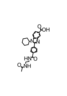 CC(=O)NCCNC(=O)c1ccc(-c2nc3cc(C(=O)O)ccc3n2C2CCCCC2)cc1